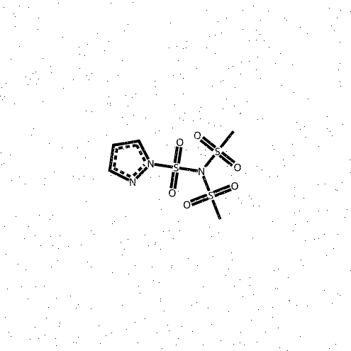 CS(=O)(=O)N(S(C)(=O)=O)S(=O)(=O)n1cccn1